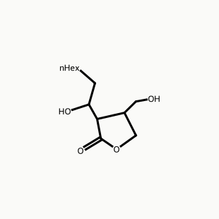 CCCCCCCC(O)C1C(=O)OCC1CO